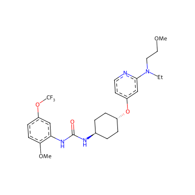 CCN(CCOC)c1cc(O[C@H]2CC[C@H](NC(=O)Nc3cc(OC(F)(F)F)ccc3OC)CC2)ccn1